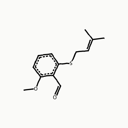 COc1cccc(SCC=C(C)C)c1C=O